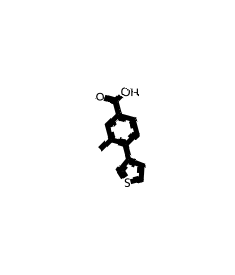 Cc1cc(C(=O)O)ccc1-c1ccsc1